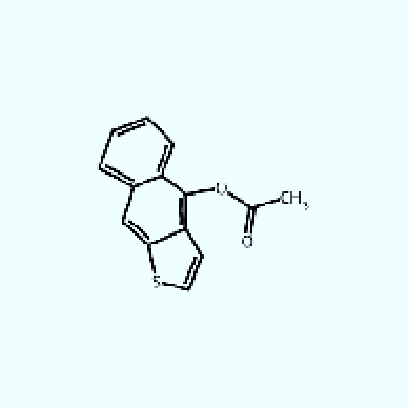 CC(=O)Oc1c2ccccc2cc2sccc12